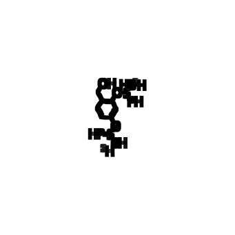 [3H]BS(=P)Oc1ccc(CO)c(OS(=P)B[3H])c1